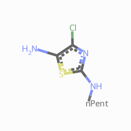 CCCCCNc1nc(Cl)c(N)s1